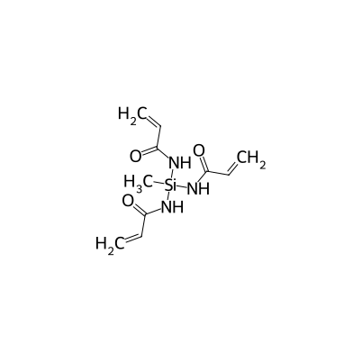 C=CC(=O)N[Si](C)(NC(=O)C=C)NC(=O)C=C